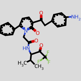 CC(C)C(NC(=O)Cn1c(-c2ccccc2)ccc(C(=O)Cc2ccc(N)cc2)c1=O)C(=O)C(F)(F)F